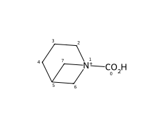 O=C(O)[N+]12CCCC(C1)C2